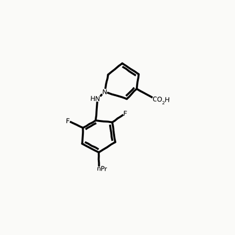 CCCc1cc(F)c(NN2C=C(C(=O)O)C=CC2)c(F)c1